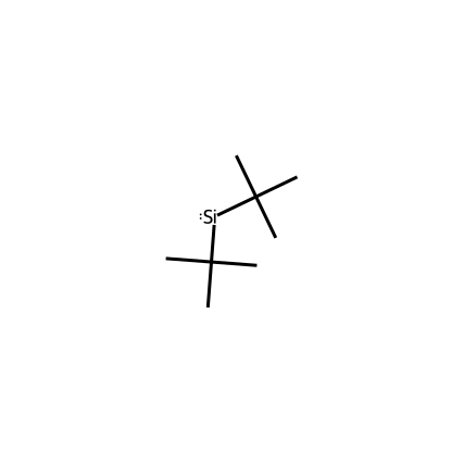 CC(C)(C)[Si]C(C)(C)C